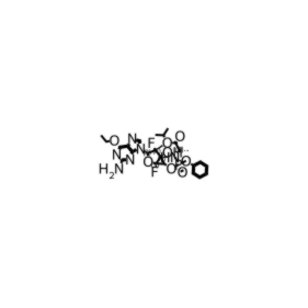 CCOc1nc(N)nc2c1ncn2[C@@H]1O[C@]2(F)C(OP(=O)(N[C@@H](C)C(=O)OC(C)C)Oc3ccccc3)[C@]2(O)[C@@]1(C)F